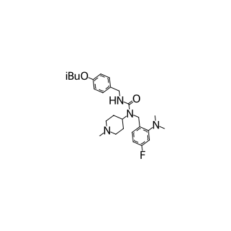 CC(C)COc1ccc(CNC(=O)N(Cc2ccc(F)cc2N(C)C)C2CCN(C)CC2)cc1